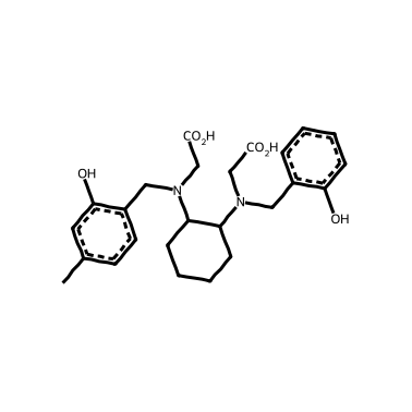 Cc1ccc(CN(CC(=O)O)C2CCCCC2N(CC(=O)O)Cc2ccccc2O)c(O)c1